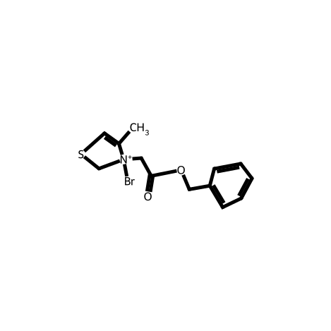 CC1=CSC[N+]1(Br)CC(=O)OCc1ccccc1